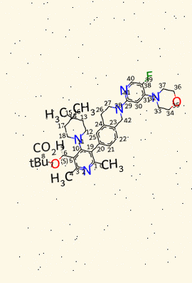 Cc1nc(C)c([C@H](OC(C)(C)C)C(=O)O)c(N2CCC(C)(C)CC2)c1-c1ccc2c(c1)CCN(c1cc(N3CCOCC3)c(F)cn1)C2